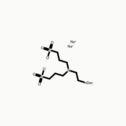 CCCCCCCCCCCCN(CCCS(=O)(=O)[O-])CCCS(=O)(=O)[O-].[Na+].[Na+]